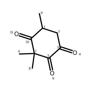 CC1CC(=O)C(=O)C(C)(C)C1=O